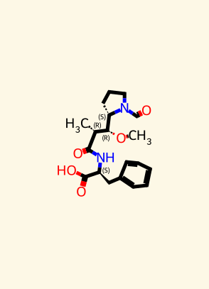 CO[C@H]([C@@H](C)C(=O)N[C@@H](Cc1ccccc1)C(=O)O)[C@@H]1CCCN1C=O